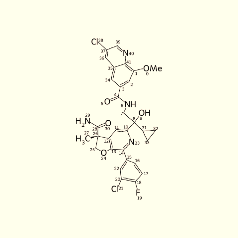 COc1cc(C(=O)NCC(O)(c2cc3c(c(-c4ccc(F)c(Cl)c4)n2)OC[C@]3(C)C(N)=O)C2CC2)cc2cc(Cl)cnc12